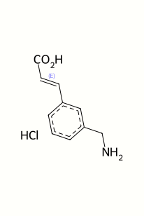 Cl.NCc1cccc(/C=C/C(=O)O)c1